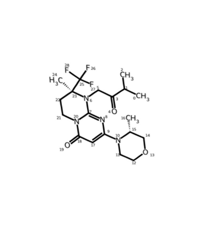 CC(C)C(=O)CN1c2nc(N3CCOC[C@H]3C)cc(=O)n2CC[C@@]1(C)C(F)(F)F